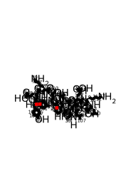 CC(C)C[C@H](NC(=O)[C@H](CCCCN)NC(=O)[C@H](CCC(=O)O)NC(=O)[C@H](CC(=O)O)NC(=O)[C@@H](NC(=O)[C@H](C)NC(=O)[C@@H]1CCCN1C(=O)[C@H](CC(C)C)NC(=O)[C@H](Cc1ccc(O)cc1)NC(=O)[C@@H](NC(=O)[C@H](CCCCN)NC(=O)[C@H](CCC(=O)O)NC(=O)[C@@H](N)Cc1ccc(O)cc1)[C@@H](C)O)C(C)C)C(=O)O